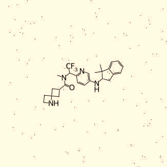 CN(C(=O)C1CC2(CCN2)C1)C(c1ccc(NC2Cc3ccccc3C2(C)C)cn1)C(F)(F)F